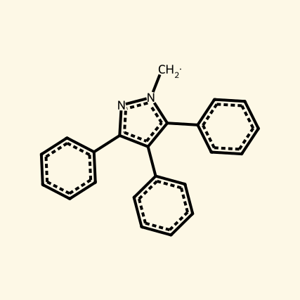 [CH2]n1nc(-c2ccccc2)c(-c2ccccc2)c1-c1ccccc1